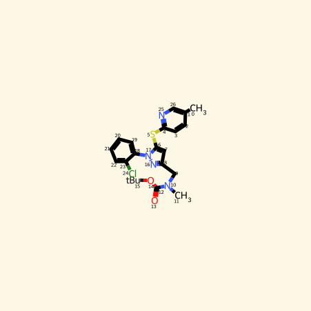 Cc1ccc(Sc2cc(CN(C)C(=O)OC(C)(C)C)nn2-c2ccccc2Cl)nc1